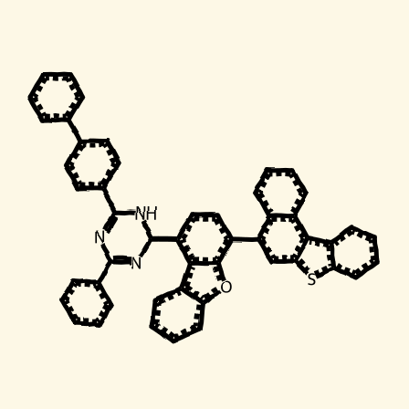 c1ccc(C2=NC(c3ccc(-c4cc5sc6ccccc6c5c5ccccc45)c4oc5ccccc5c34)NC(c3ccc(-c4ccccc4)cc3)=N2)cc1